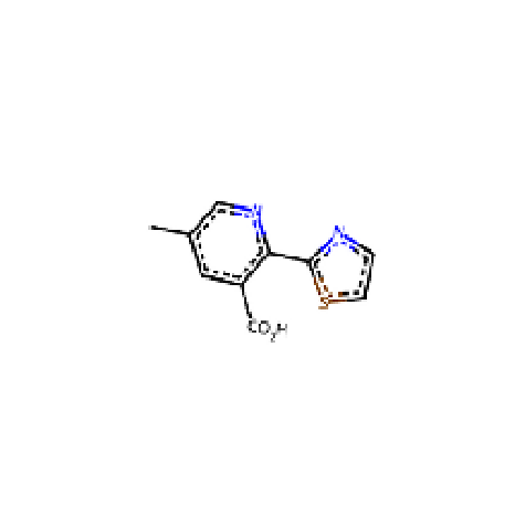 Cc1cnc(-c2nccs2)c(C(=O)O)c1